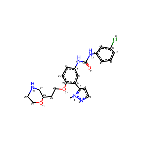 Cn1nccc1-c1cc(NC(=O)Nc2cccc(Cl)c2)ccc1OCCC1CNCCO1